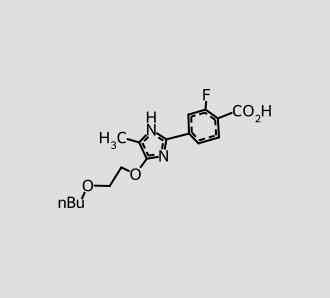 CCCCOCCOc1nc(-c2ccc(C(=O)O)c(F)c2)[nH]c1C